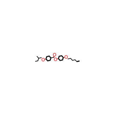 C=CCCCCOc1ccc(OC(=O)c2ccc(OCC(C)CC)cc2)cc1